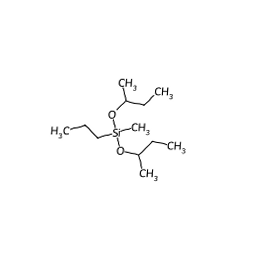 CCC[Si](C)(OC(C)CC)OC(C)CC